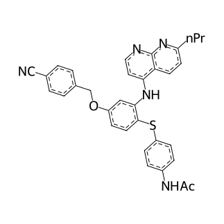 CCCc1ccc2c(Nc3cc(OCc4ccc(C#N)cc4)ccc3Sc3ccc(NC(C)=O)cc3)ccnc2n1